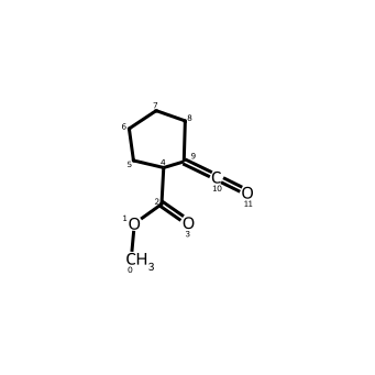 COC(=O)C1CCCCC1=C=O